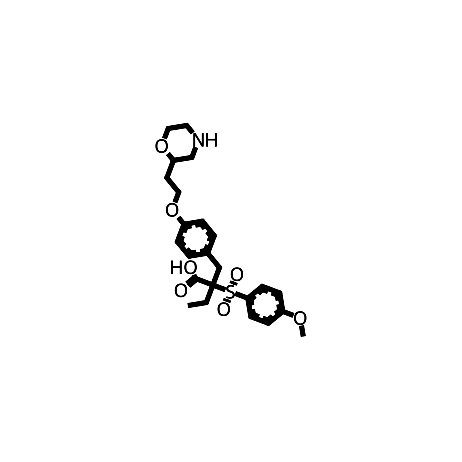 CCC(Cc1ccc(OCCC2CNCCO2)cc1)(C(=O)O)S(=O)(=O)c1ccc(OC)cc1